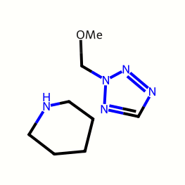 C1CCNCC1.COCn1ncnn1